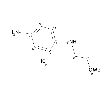 COCCNc1ccc(N)cc1.Cl